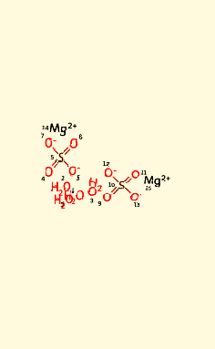 O.O.O.O.O=S(=O)([O-])[O-].O=S(=O)([O-])[O-].[Mg+2].[Mg+2]